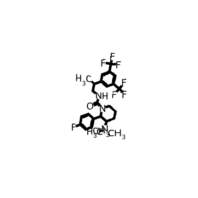 Cc1cc(F)ccc1C1C(N(C)C)CCCN1C(=O)NCC(C)c1cc(C(F)(F)F)cc(C(F)(F)F)c1